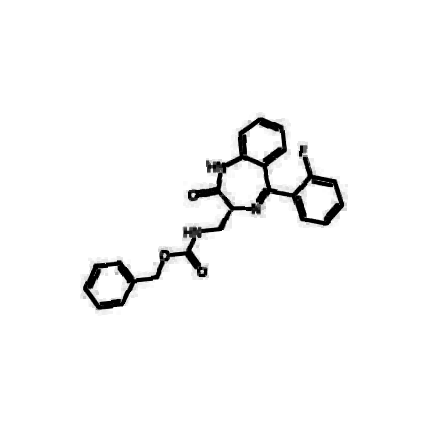 O=C(NC[C@@H]1N=C(c2ccccc2F)c2ccccc2NC1=O)OCc1ccccc1